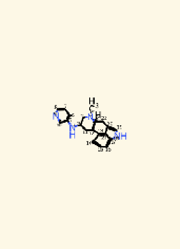 CN1CC(Nc2cccnc2)CC2c3cccc4[nH]cc(c34)C[C@H]21